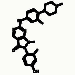 Cc1cc(Nc2ncc3c(=O)n(-c4ccc(O)cc4C)n(C)c3n2)ccc1N1CCN(C)CC1